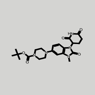 Cn1c(=O)n(C2CCC(=O)NC2=O)c2ccc(N3CCN(C(=O)OC(C)(C)C)CC3)cc21